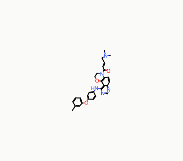 Cc1cccc(Oc2ccc(Nc3ncnc4ccc5c(c34)OCCN5C(=O)/C=C/CN(C)C)cc2)c1